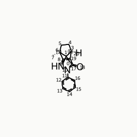 CC1(C)[C@H]2CC[C@]1(C)c1[nH]n(-c3ccccc3)c(=O)c12